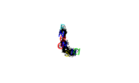 O=c1cc(OCc2ccc(F)cn2)ccn1-c1ccc2sc3c(c2c1)CN(Cl)CC3